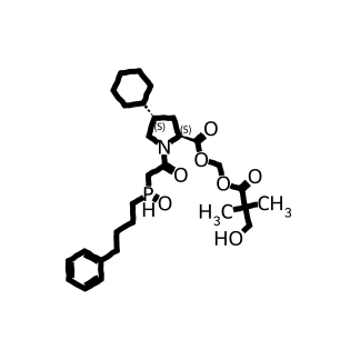 CC(C)(CO)C(=O)OCOC(=O)[C@@H]1C[C@@H](C2CCCCC2)CN1C(=O)C[PH](=O)CCCCc1ccccc1